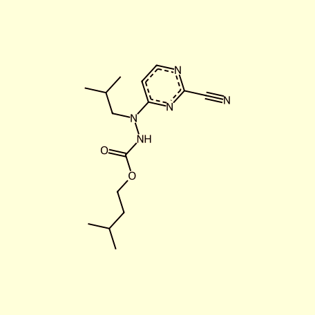 CC(C)CCOC(=O)NN(CC(C)C)c1ccnc(C#N)n1